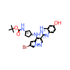 Cc1cc(O)ccc1/N=C(\N)c1cnn2cc(Br)cc2c1N[C@@H]1CC[C@H](NC(=O)OC(C)(C)C)C1